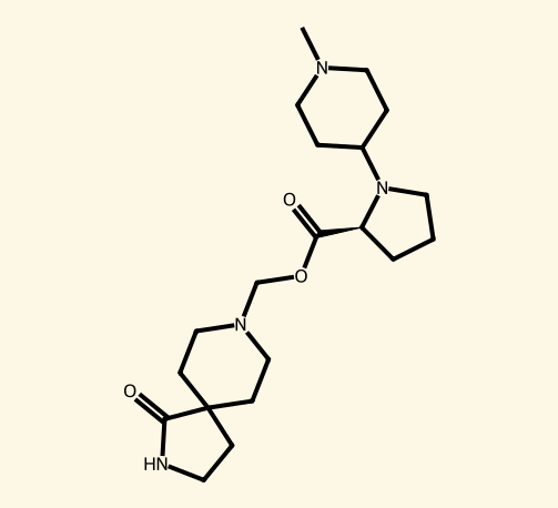 CN1CCC(N2CCC[C@H]2C(=O)OCN2CCC3(CCNC3=O)CC2)CC1